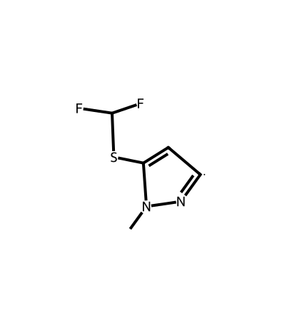 Cn1n[c]cc1SC(F)F